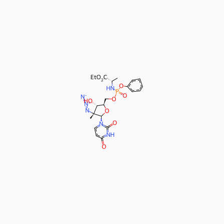 CCOC(=O)[C@H](C)NP(=O)(OC[C@H]1O[C@@H](n2ccc(=O)[nH]c2=O)[C@](C)(N=[N+]=[N-])[C@@H]1O)Oc1ccccc1